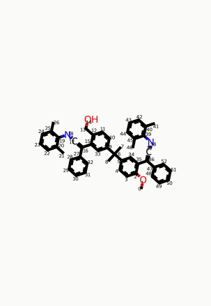 COc1ccc(C(C)(C)c2ccc(CO)c(C(=C=Nc3c(C)cccc3C)c3ccccc3)c2)cc1C(=C=Nc1c(C)cccc1C)c1ccccc1